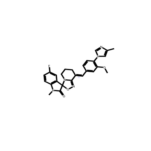 COc1cc(/C=C2\CCCN3C2=NOC32C(=O)N(C)c3ccc(F)cc32)ccc1-n1cnc(C)c1